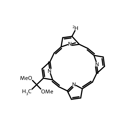 [2H]C1=CC2=CC3=NC(=CC4=NC(=CC5=NC(=CC1=N2)C=C5)C=C4)C(C(C)(OC)OC)=C3